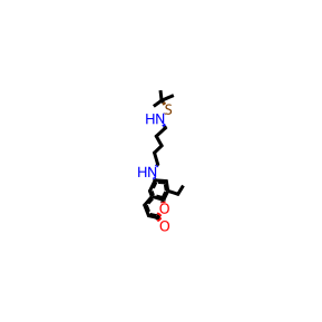 CCc1cc(NCCCCCNSC(C)(C)C)cc2ccc(=O)oc12